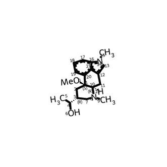 CO[C@]12C[C@@H](C(C)O)CN(C)[C@@H]1Cc1cn(C)c3cccc2c13